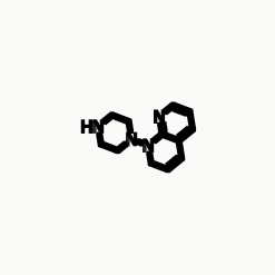 C1=Cc2cccnc2N(N2CCNCC2)C1